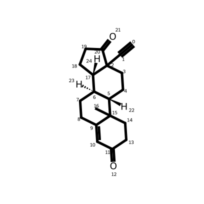 C#CC12CC[C@H]3[C@@H](CCC4=CC(=O)CCC43C)[C@@H]1CCC2=O